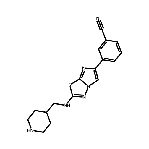 N#Cc1cccc(-c2cn3nc(NCC4CCNCC4)sc3n2)c1